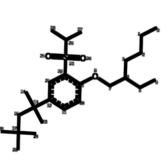 CCCCC(CC)COc1ccc(C(C)(C)CC(C)(C)C)cc1S(=O)(=O)C(C)C